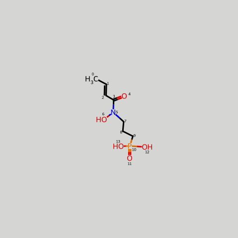 CC=CC(=O)N(O)CCCP(=O)(O)O